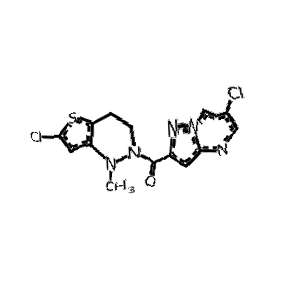 CN1c2cc(Cl)sc2CCN1C(=O)c1cc2ncc(Cl)cn2n1